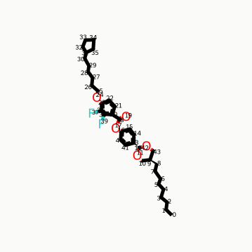 CCCCCCCCC[C@H]1CO[C@H](c2ccc(OC(=O)c3ccc(OCCCCCCC4CCCC4)c(F)c3F)cc2)OC1